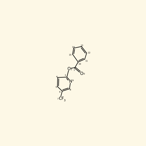 O=C(Oc1ccc(C(F)(F)F)cn1)c1ccccc1